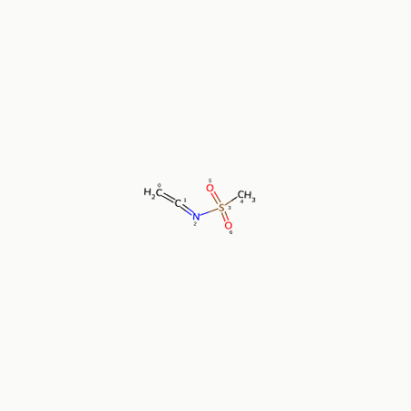 C=C=NS(C)(=O)=O